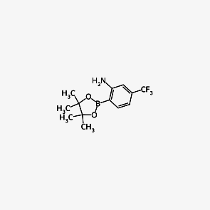 CC1(C)OB(c2ccc(C(F)(F)F)cc2N)OC1(C)C